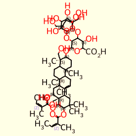 C/C=C(/C)C(=O)O[C@H]1[C@H](OC(=O)/C(C)=C\C)[C@@]2(CO)C(CC1(C)C)C1=CCC3[C@@]4(C)CC[C@H](O[C@@H]5OC(C(=O)O)[C@@H](O)C(O[C@@H]6O[C@@H](CO)C[C@@H]6O)[C@@H]5O[C@@H]5OC(CO)[C@@H](O)C(O)[C@@H]5O)[C@](C)(CO)C4CC[C@@]3(C)[C@]1(C)C[C@H]2O